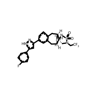 O=S1(=O)N[C@@]2(CN1CC(F)(F)F)[C@@H]1CC[C@H]2Cc2ccc(-c3cc(-c4ccc(F)cc4)[nH]n3)cc2C1